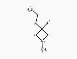 BCCC1(I)CN(C)C1